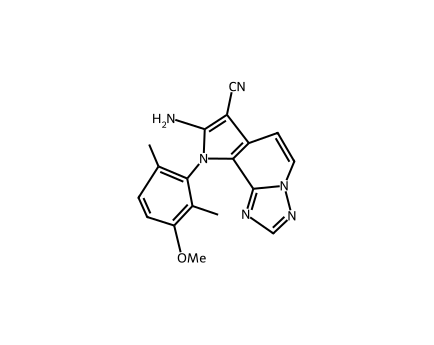 COc1ccc(C)c(-n2c(N)c(C#N)c3ccn4ncnc4c32)c1C